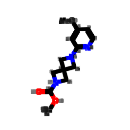 COc1ccnc(N2CC3(CN(C(=O)OC(C)(C)C)C3)C2)c1